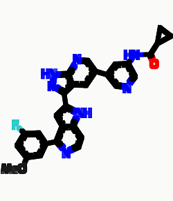 COc1cc(F)cc(-c2nccc3[nH]c(-c4n[nH]c5ncc(-c6cncc(NC(=O)C7CC7)c6)cc45)cc23)c1